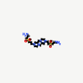 CN1CCN(CCCS(=O)(=O)CCN)CC1CN1CCN(CCS(=O)(=O)CCN)CC1